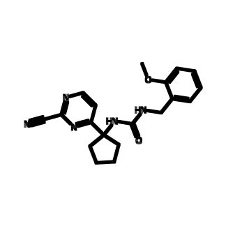 COc1ccccc1CNC(=O)NC1(c2ccnc(C#N)n2)CCCC1